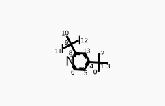 CC(C)(C)c1ccnc(C(C)(I)I)c1